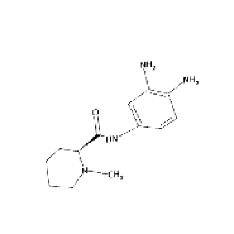 CN1CCCC[C@H]1C(=O)Nc1ccc(N)c(N)c1